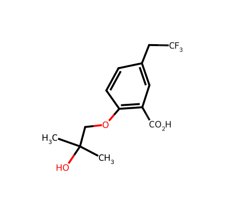 CC(C)(O)COc1ccc(CC(F)(F)F)cc1C(=O)O